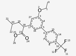 CCOc1cc(-c2ccc(C(F)(F)F)cc2)cc(C(CC(C)C)C(=O)OC)c1